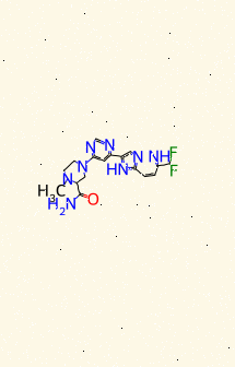 CN1CCN(c2cc(-c3cnc(/C=C\C(=N)C(F)F)[nH]3)ncn2)CC1C(N)=O